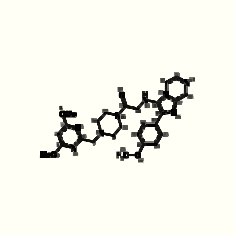 COc1cc(OC)nc(CN2CCN(C(=O)CNc3c(-c4ccc(OC(F)(F)F)cc4)nc4cnccn34)CC2)n1